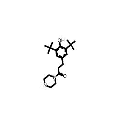 CC(C)(C)c1cc(CCC(=O)N2CCNCC2)cc(C(C)(C)C)c1O